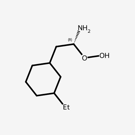 CCC1CCCC(C[C@H](N)OO)C1